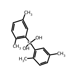 Cc1ccc(C)c([Si](O)(O)c2cc(C)ccc2C)c1